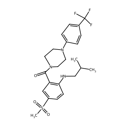 CC(C)CNc1ccc(S(C)(=O)=O)cc1C(=O)N1CCN(c2ccc(C(F)(F)F)cc2)CC1